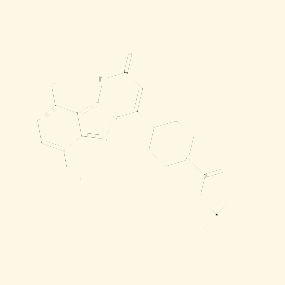 Cc1ccc(Br)c2c1nn1c(C3CCN(C(=O)OC(C)(C)C)CC3)cc(=O)[nH]c21